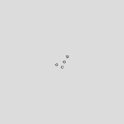 [C].[O].[O].[Si]